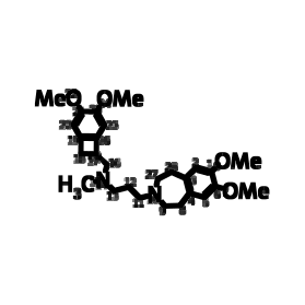 COc1cc2c(cc1OC)CCN(CCCN(C)C[C@H]1Cc3cc(OC)c(OC)cc31)CC2